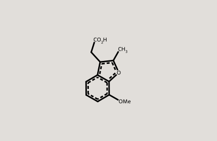 COc1cccc2c(CC(=O)O)c(C)oc12